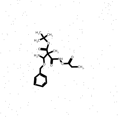 CCC(=O)ONC(=O)C(C)(C(=O)OC(C)(C)C)C(N)OCc1ccccc1